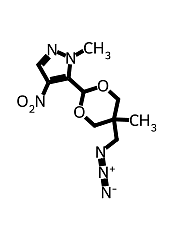 Cn1ncc([N+](=O)[O-])c1C1OCC(C)(CN=[N+]=[N-])CO1